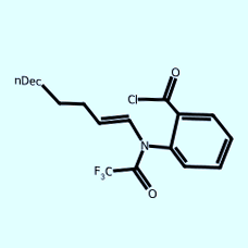 CCCCCCCCCCCCC=CN(C(=O)C(F)(F)F)c1ccccc1C(=O)Cl